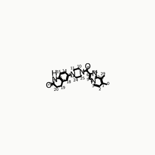 Cc1ccn2cc(C(=O)N3CCN(c4ccc5c(c4)CCC(=O)N5)CC3)nc2c1C